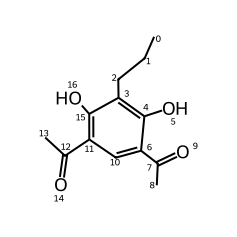 CCCc1c(O)c(C(C)=O)cc(C(C)=O)c1O